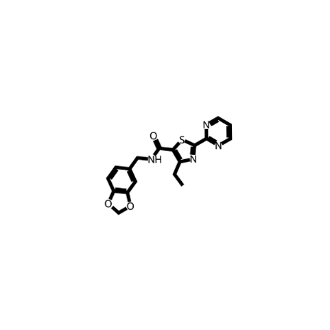 CCc1nc(-c2ncccn2)sc1C(=O)NCc1ccc2c(c1)OCO2